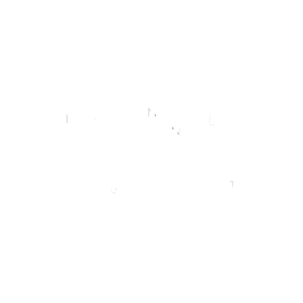 CCn1nc(C(=O)O)c(Br)c1CC(C)C